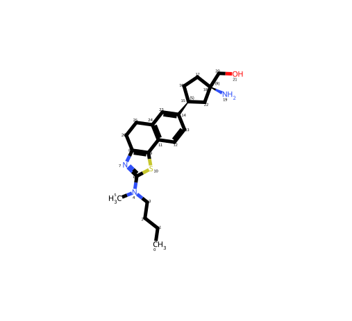 CCCCN(C)c1nc2c(s1)-c1ccc([C@H]3CC[C@](N)(CO)C3)cc1CC2